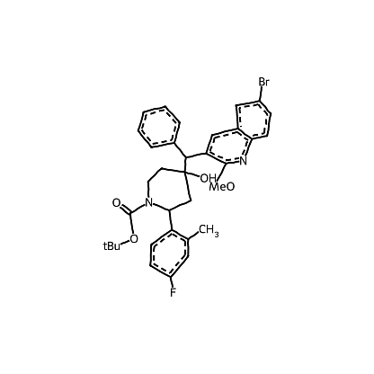 COc1nc2ccc(Br)cc2cc1C(c1ccccc1)C1(O)CCN(C(=O)OC(C)(C)C)C(c2ccc(F)cc2C)C1